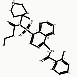 CCCC(=O)N(C1(C)CCNCC1)S(=O)(=O)c1ccc(NC(=O)c2ccccc2C)c2ccccc12